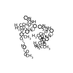 CC(C)(C)OC(=O)c1nc(N2CCc3cccc(C(=O)Nc4nc5ccccc5s4)c3C2)ccc1B1OC(C)(C)C(C)(C)O1.COC(=O)Cc1ccc(CCCOc2cccc(-c3ccc(N4CCc5cccc(C(=O)Nc6nc7ccccc7s6)c5C4)nc3C(=O)OC(C)(C)C)c2C)nc1